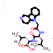 CC(C)C[C@H](NC(=O)[C@H](CC(C)C)NC(=O)Cn1c2ccccc2c2cnccc21)B(O)O